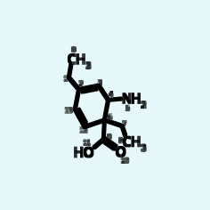 CCC1=CC(N)C(CC)(C(=O)O)C=C1